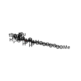 COCCOCCOCCOCCOCCOCCOCCOCCNC(=O)CNC(=O)CNC(=O)CNC(=O)CNC(=O)C([SiH3])(CCC(=O)OC(C)(C)C)NC(=O)OC(C)(C)C